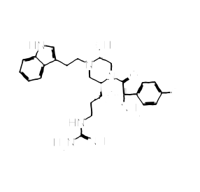 C[C@@H]1CN(C(=O)[C@](C)(N)c2ccc(Cl)cc2)[C@@H](CCCNC(=N)N)CN1CCc1c[nH]c2ccccc12